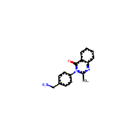 CCCCc1nc2ccccc2c(=O)n1-c1ccc(CN)cc1